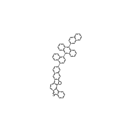 c1ccc2cc(-c3c4ccccc4c(-c4ccc(-c5ccc6cc7c(cc6c5)oc5c7ccc6sc7ccccc7c65)c5ccccc45)c4ccccc34)ccc2c1